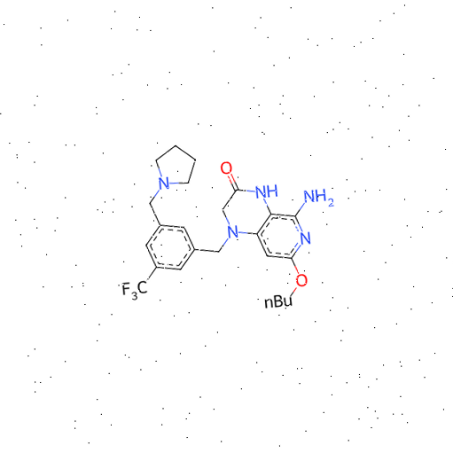 CCCCOc1cc2c(c(N)n1)NC(=O)CN2Cc1cc(CN2CCCC2)cc(C(F)(F)F)c1